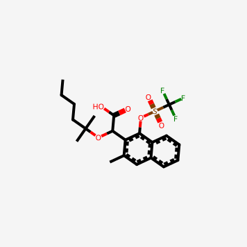 CCCCC(C)(C)OC(C(=O)O)c1c(C)cc2ccccc2c1OS(=O)(=O)C(F)(F)F